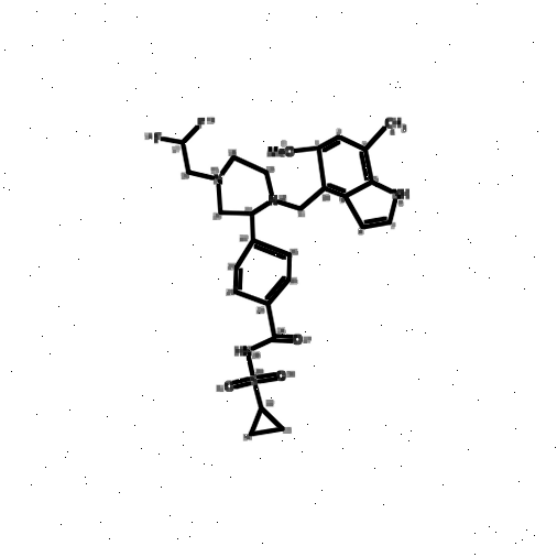 COc1cc(C)c2[nH]ccc2c1CN1CCN(CC(F)F)CC1c1ccc(C(=O)NS(=O)(=O)C2CC2)cc1